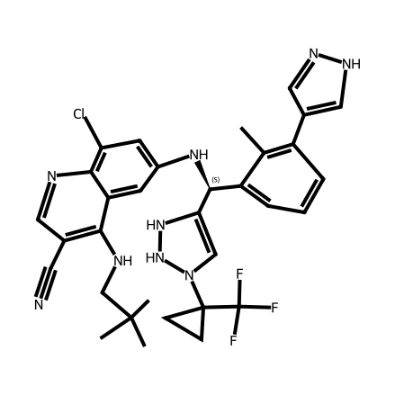 Cc1c(-c2cn[nH]c2)cccc1[C@H](Nc1cc(Cl)c2ncc(C#N)c(NCC(C)(C)C)c2c1)C1=CN(C2(C(F)(F)F)CC2)NN1